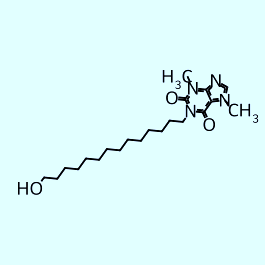 Cn1cnc2c1c(=O)n(CCCCCCCCCCCCCCO)c(=O)n2C